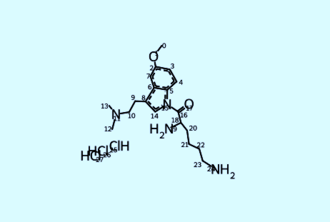 COc1ccc2c(c1)c(CCN(C)C)cn2C(=O)C(N)CCCCN.Cl.Cl.Cl